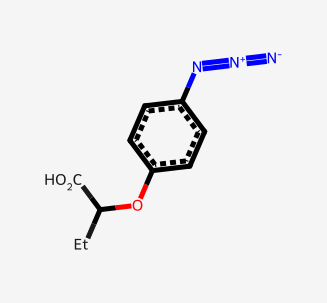 CCC(Oc1ccc(N=[N+]=[N-])cc1)C(=O)O